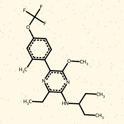 CCc1nc(-c2ccc(OC(F)(F)F)cc2C)c(OC)nc1NC(CC)CC